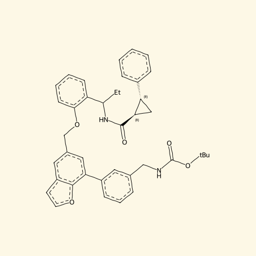 CCC(NC(=O)[C@@H]1C[C@H]1c1ccccc1)c1ccccc1OCc1cc(-c2cccc(CNC(=O)OC(C)(C)C)c2)c2occc2c1